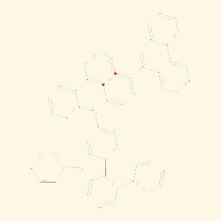 c1ccc(-c2ccccc2N(c2ccc(-c3cc4ccccc4c4ccccc34)cc2)c2ccc3c4c(-c5ccccc5)cccc4n(-c4ccccc4)c3c2)cc1